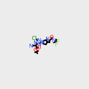 Cn1c(C(=O)N2CC(F)(F)C2)cc2c1CN(c1nc(Cl)nc(C(C#N)C(=O)OC(C)(C)C)n1)CC2